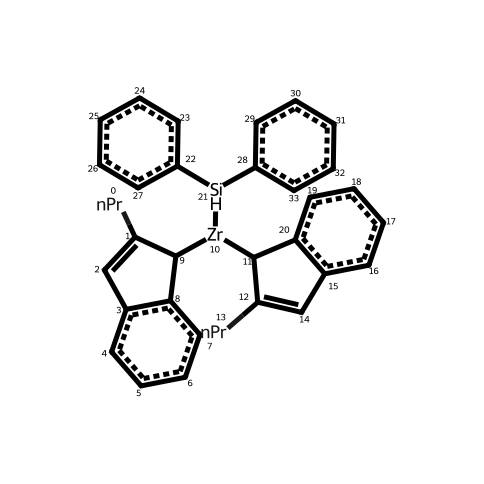 CCCC1=Cc2ccccc2[CH]1[Zr]([CH]1C(CCC)=Cc2ccccc21)[SiH](c1ccccc1)c1ccccc1